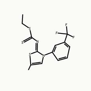 CCSC(=S)N=c1sc(C)cn1-c1cccc(C(F)(F)F)c1